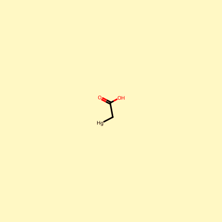 O=C(O)[CH2][Hg]